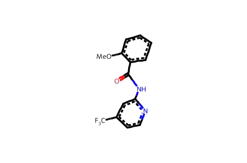 COc1ccccc1C(=O)Nc1cc(C(F)(F)F)ccn1